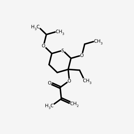 C=C(C)C(=O)OC1(CC)CCC(OC(C)C)SC1OCC